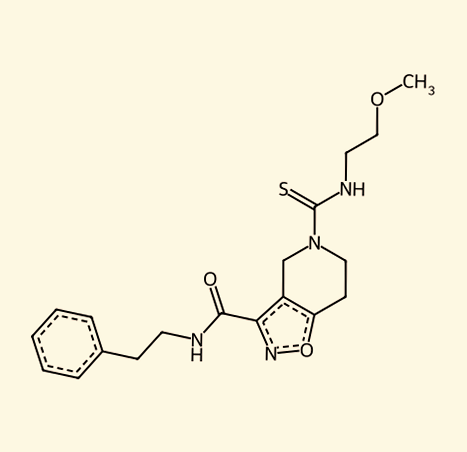 COCCNC(=S)N1CCc2onc(C(=O)NCCc3ccccc3)c2C1